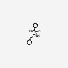 CC(C)C(NCCCN1CCCCC1)C(O)c1ccccc1.Cl.Cl